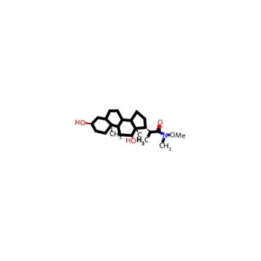 CON(C)C(=O)C(C)[C@H]1CCC2C3CCC4C[C@H](O)CC[C@]4(C)C3C[C@H](O)[C@@]21C